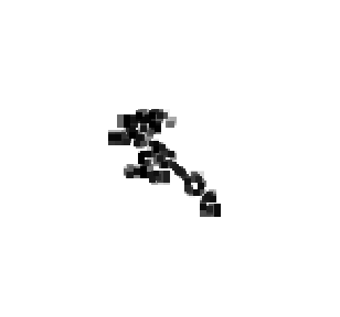 C[C@@](CCN1Cc2cc(C#Cc3ccc(C4(CO)CC4)cn3)cn2C1=O)(C(=O)NO)S(C)(=O)=O.O=CO